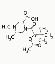 CC(=O)O[C@@H](C(=O)N1CC(C)N(C)CC1C(=O)O)C(C)(C)C